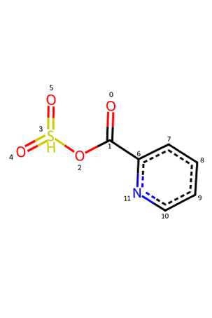 O=C(O[SH](=O)=O)c1ccccn1